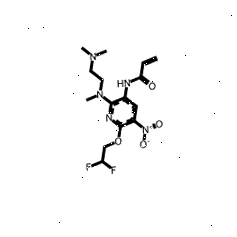 C=CC(=O)Nc1cc([N+](=O)[O-])c(OCC(F)F)nc1N(C)CCN(C)C